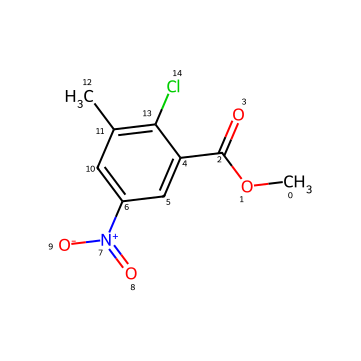 COC(=O)c1cc([N+](=O)[O-])cc(C)c1Cl